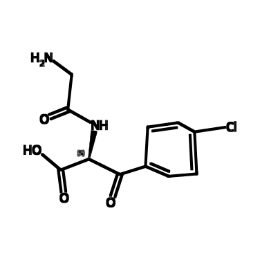 NCC(=O)N[C@H](C(=O)O)C(=O)c1ccc(Cl)cc1